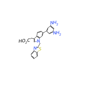 Nc1cc(N)cc(-c2ccc3c(CC(=O)O)cn(Cc4nc5ccccc5s4)c3c2)c1